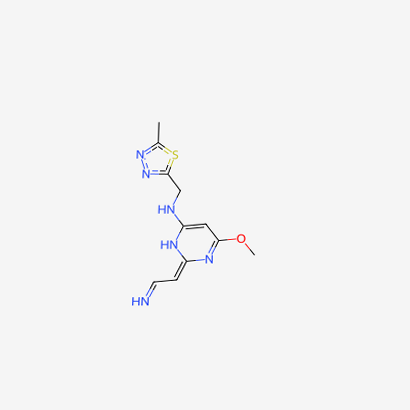 COC1=N/C(=C/C=N)NC(NCc2nnc(C)s2)=C1